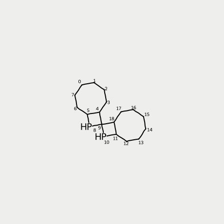 C1CCCC2C(CC1)PC21PC2CCCCCCC21